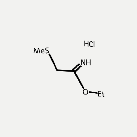 CCOC(=N)CSC.Cl